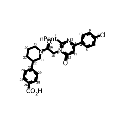 CCCCCc1nc(-c2ccc(Cl)cc2)cc(=O)n1CC(=O)N1CCCC(c2ccc(C(=O)O)cc2)C1